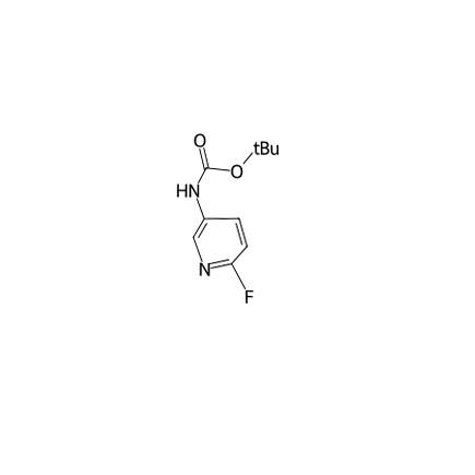 CC(C)(C)OC(=O)Nc1ccc(F)nc1